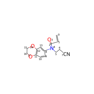 C=CC(=O)N(CCC#N)c1ccc2c(c1)OCCO2